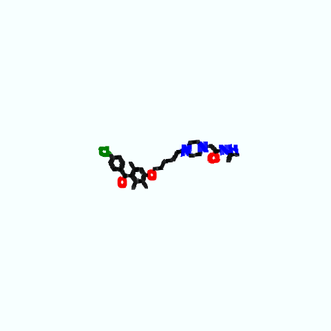 Cc1cc(OCCCCCN2CCN(CC(=O)NC(C)C)CC2)c(C)c(C)c1C(=O)c1ccc(Cl)cc1